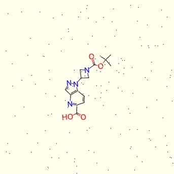 CC(C)(C)OC(=O)N1CC(n2ncc3nc(C(=O)O)ccc32)C1